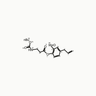 C=CCc1ccc(OC(=O)CCNC(=O)OCCCC)c(OC)c1